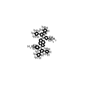 [2H]c1c([2H])c([2H])c(-c2cc(-c3c([2H])c([2H])c([2H])c([2H])c3[2H])c(F)c(N(c3ccc([Si](C)(C)C)cc3)c3ccc4ccc5c(N(c6ccc([Si](C)(C)C)cc6)c6cc(-c7c([2H])c([2H])c([2H])c([2H])c7[2H])cc(-c7c([2H])c([2H])c([2H])c([2H])c7[2H])c6F)ccc6ccc3c4c65)c2)c([2H])c1[2H]